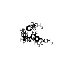 CN(C)Cc1ccc(-n2cnc(-c3nc(NC4CCN(S(C)(=O)=O)CC4)ncc3C(F)(F)F)c2)c(C(F)(F)F)c1